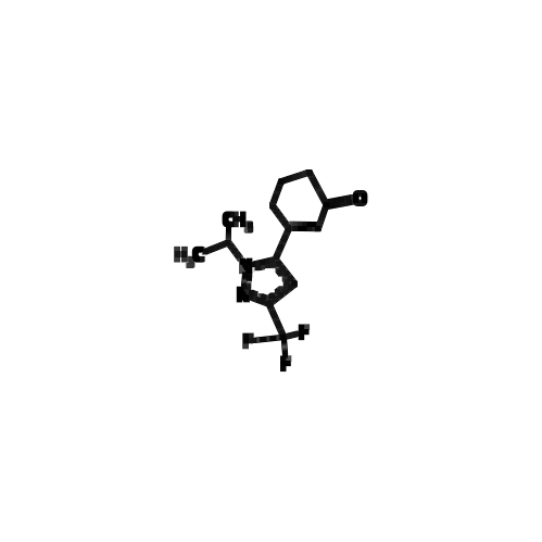 CC(C)n1nc(C(F)(F)F)cc1C1=CC(=O)CCC1